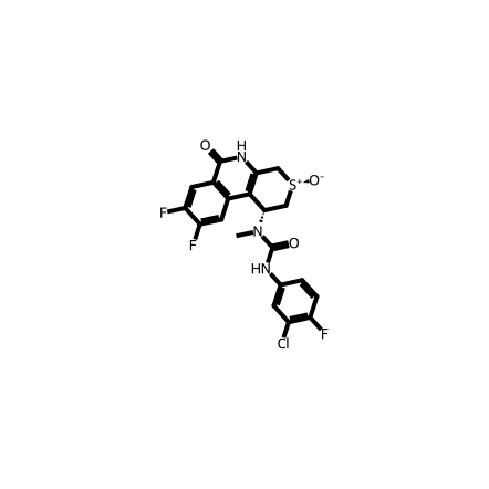 CN(C(=O)Nc1ccc(F)c(Cl)c1)[C@H]1C[S@@+]([O-])Cc2[nH]c(=O)c3cc(F)c(F)cc3c21